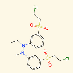 CCN(c1cccc(S(=O)(=O)CCCl)c1)N(C)c1cccc(S(=O)(=O)CCCl)c1